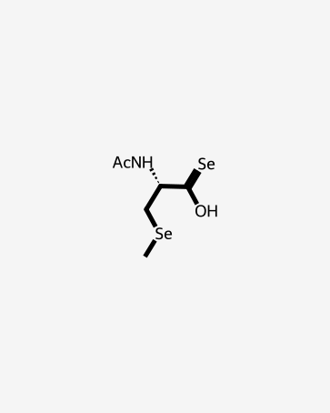 C[Se]C[C@H](NC(C)=O)C(O)=[Se]